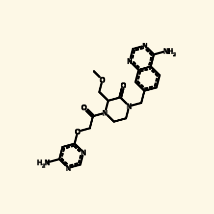 COCC1C(=O)N(Cc2ccc3c(N)ncnc3c2)CCN1C(=O)COc1cc(N)ncn1